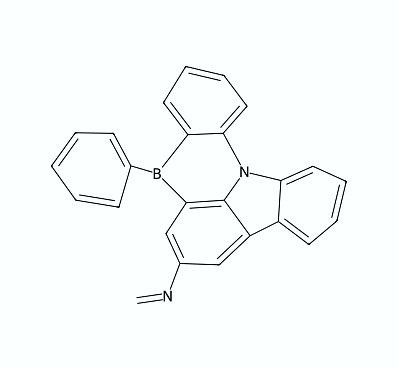 C=Nc1cc2c3c(c1)c1ccccc1n3-c1ccccc1B2c1ccccc1